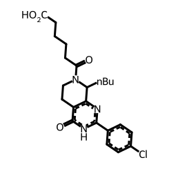 CCCCC1c2nc(-c3ccc(Cl)cc3)[nH]c(=O)c2CCN1C(=O)CCCCC(=O)O